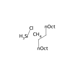 C.CCCCCCCCCCCCCCCCCC.[SiH3]Cl